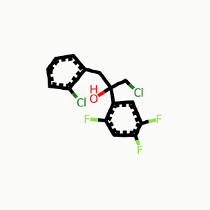 OC(CCl)(Cc1ccccc1Cl)c1cc(F)c(F)cc1F